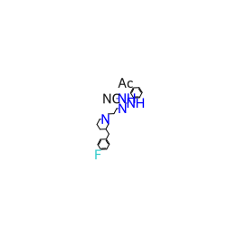 CC(=O)c1cccc(NC(=NCCCN2CCCC(Cc3ccc(F)cc3)C2)NC#N)c1